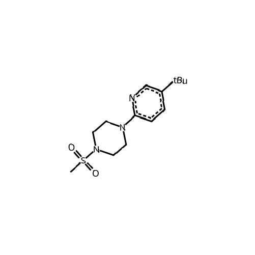 CC(C)(C)c1ccc(N2CCN(S(C)(=O)=O)CC2)nc1